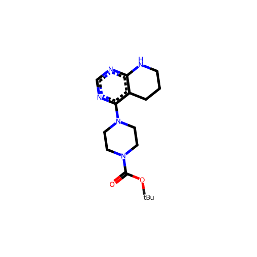 CC(C)(C)OC(=O)N1CCN(c2ncnc3c2CCCN3)CC1